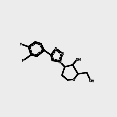 OCC1OCCC(n2cc(-c3ccc(F)c(F)c3)nn2)C1O